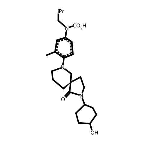 Cc1cc(N(CC(C)C)C(=O)O)ccc1N1CCC[C@]2(CCN(C3CCC(O)CC3)C2=O)C1